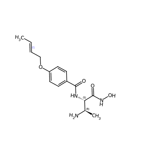 C/C=C/COc1ccc(C(=O)N[C@H](C(=O)NO)[C@@H](C)N)cc1